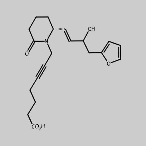 O=C(O)CCCC#CCN1C(=O)CCC[C@@H]1/C=C/C(O)Cc1ccco1